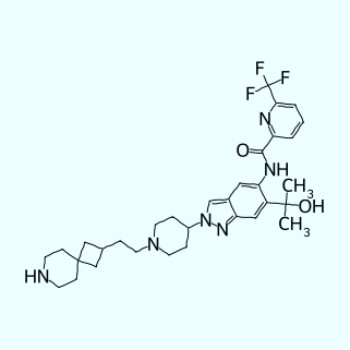 CC(C)(O)c1cc2nn(C3CCN(CCC4CC5(CCNCC5)C4)CC3)cc2cc1NC(=O)c1cccc(C(F)(F)F)n1